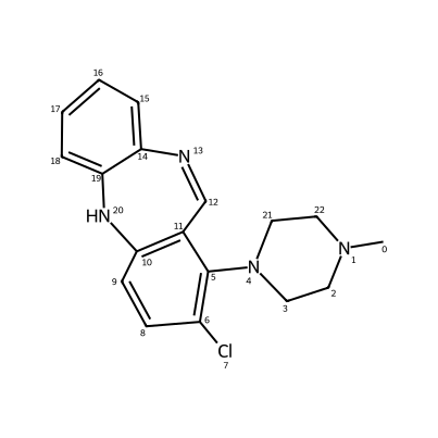 CN1CCN(c2c(Cl)ccc3c2C=Nc2ccccc2N3)CC1